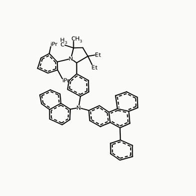 CCC1(CC)CC(C)(C)N(c2c(C(C)C)cccc2C(C)C)C1c1ccc(N(c2ccc3c(-c4ccccc4)cc4ccccc4c3c2)c2cccc3ccccc23)cc1